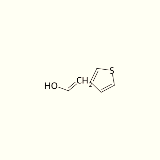 C=CO.c1ccsc1